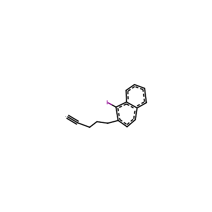 [C]#CCCCc1ccc2ccccc2c1I